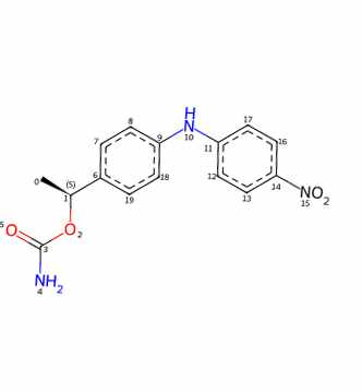 C[C@H](OC(N)=O)c1ccc(Nc2ccc([N+](=O)[O-])cc2)cc1